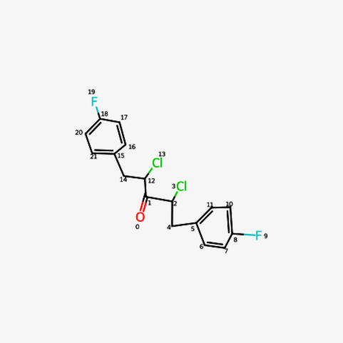 O=C(C(Cl)Cc1ccc(F)cc1)C(Cl)Cc1ccc(F)cc1